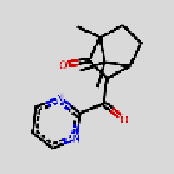 CC12CCC(C(C(=O)c3ncccn3)C1=O)C2(C)C